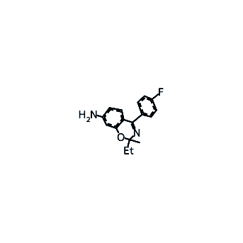 CCC1(C)N=C(c2ccc(F)cc2)c2ccc(N)cc2O1